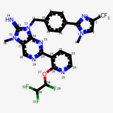 Cn1cc(C(F)(F)F)nc1-c1ccc(Cn2c(=N)n(C)c3cnc(-c4cccnc4OC(F)C(F)F)nc32)cc1